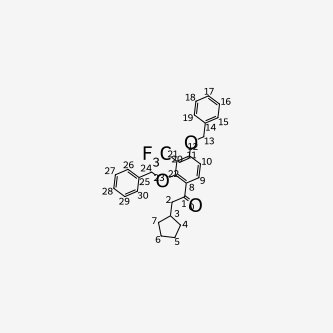 O=C(CC1CCCC1)c1ccc(OCc2ccccc2)c(C(F)(F)F)c1OCc1ccccc1